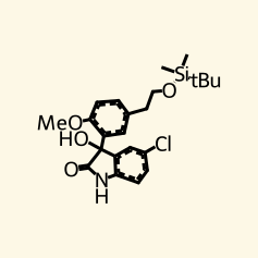 COc1ccc(CCO[Si](C)(C)C(C)(C)C)cc1C1(O)C(=O)Nc2ccc(Cl)cc21